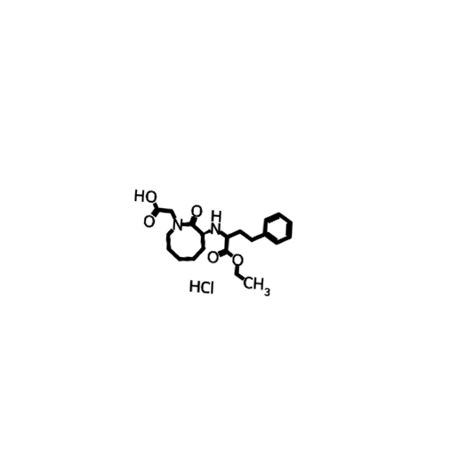 CCOC(=O)C(CCc1ccccc1)N[C@H]1CCCCCN(CC(=O)O)C1=O.Cl